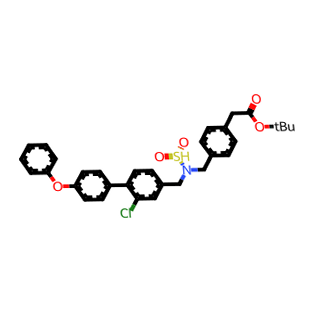 CC(C)(C)OC(=O)Cc1ccc(CN(Cc2ccc(-c3ccc(Oc4ccccc4)cc3)c(Cl)c2)[SH](=O)=O)cc1